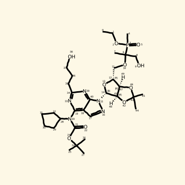 CCOP(C)(=O)C(C)(CO)OC[C@H]1O[C@@H](n2ncc3c(N(C(=O)OC(C)(C)C)C4CCCC4)nc(CCCO)nc32)[C@@H]2OC(C)(C)O[C@@H]21